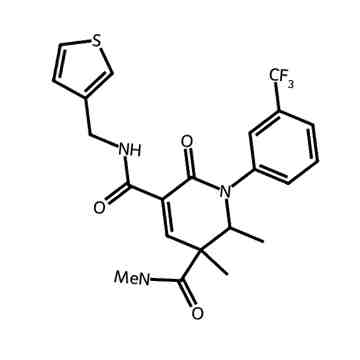 CNC(=O)C1(C)C=C(C(=O)NCc2ccsc2)C(=O)N(c2cccc(C(F)(F)F)c2)C1C